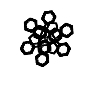 c1ccc([Si](c2ccccc2)(c2ccccc2)[C]2([Cr]([C]3([Si](c4ccccc4)(c4ccccc4)c4ccccc4)CCCC3)[C]3([Si](c4ccccc4)(c4ccccc4)c4ccccc4)CCCC3)CCCC2)cc1